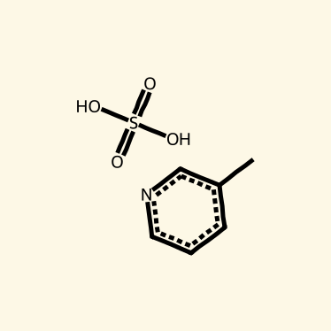 Cc1cccnc1.O=S(=O)(O)O